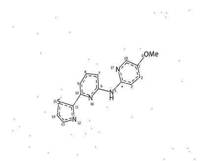 COc1ccc(Nc2cccc(-c3nccs3)n2)nc1